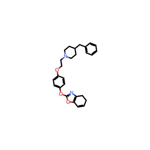 C1=Cc2oc(Oc3ccc(OCCN4CCC(Cc5ccccc5)CC4)cc3)nc2CC1